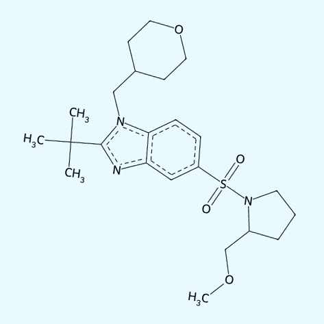 COCC1CCCN1S(=O)(=O)c1ccc2c(c1)nc(C(C)(C)C)n2CC1CCOCC1